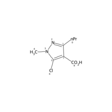 CCCc1nn(C)c(Cl)c1C(=O)O